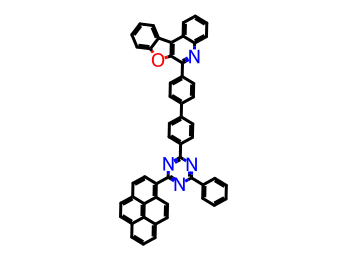 c1ccc(-c2nc(-c3ccc(-c4ccc(-c5nc6ccccc6c6c5oc5ccccc56)cc4)cc3)nc(-c3ccc4ccc5cccc6ccc3c4c56)n2)cc1